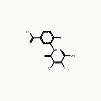 CC(C(=O)O)=C(C)C(=O)Nc1cc(C(=O)O)ccc1F